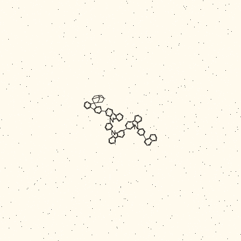 c1cc(-n2c3ccccc3c3ccc(-c4ccc5c(c4)C4(c6ccccc6-5)C5CC6CC(C5)CC4C6)cc32)cc(-n2c3ccccc3c3ccc(-c4ccc5c6ccccc6n(-c6ccc(-c7cccc8ccccc78)cc6)c5c4)cc32)c1